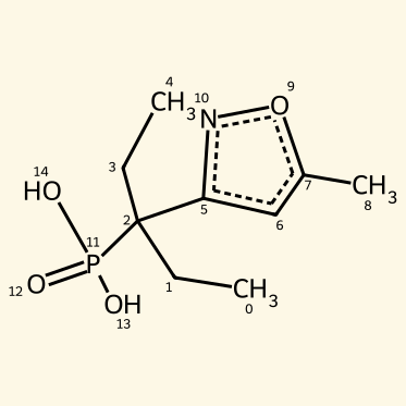 CCC(CC)(c1cc(C)on1)P(=O)(O)O